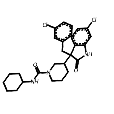 O=C(NC1CCCCC1)N1CCCC(C2(Cc3cccc(Cl)c3)C(=O)Nc3cc(Cl)ccc32)C1